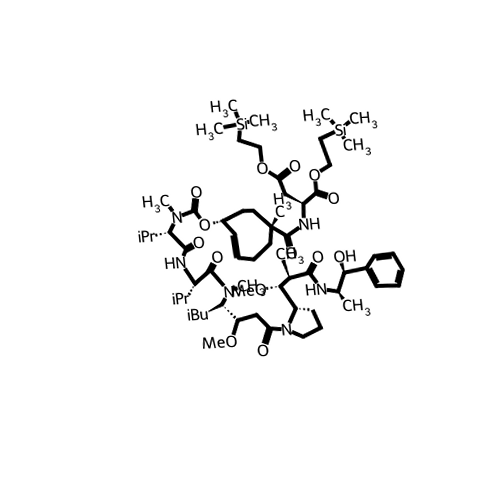 CC[C@H](C)[C@@H](C(CC(=O)N1CCC[C@H]1[C@H](OC)[C@@H](C)C(=O)N[C@H](C)[C@@H](O)c1ccccc1)OC)N(C)C(=O)[C@@H](NC(=O)[C@H](C(C)C)N(C)C(=O)O[C@H]1/C=C/CC[C@@](C)(C(=O)N[C@@H](CC(=O)OCC[Si](C)(C)C)C(=O)OCC[Si](C)(C)C)CC1)C(C)C